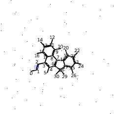 C/C=C/c1c(C)c2c(c3c(C)c(C)c(C)c(C)c13)-c1c(C)c(C)c(C)c(C)c1C2(C)C